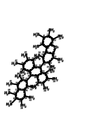 Bc1c(B)c(B)c2c(oc3c(B)c(B)c(-c4c5c(B)c(B)c(B)c(B)c5c(-c5c(B)c(B)c6c(B)c(B)c(B)c(B)c6c5B)c5c(B)c(B)c(B)c(B)c45)c(B)c32)c1B